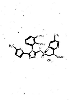 COc1cccc(-n2c(NS(=O)(=O)[C@@H](C)[C@H](OC)c3ncc(C)cn3)nnc2-c2ccc(C)o2)c1OC